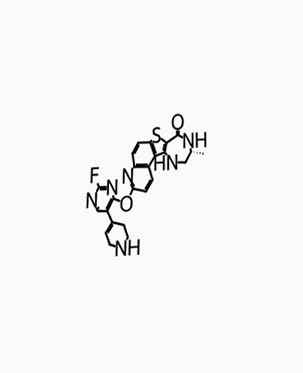 C[C@@H]1CNc2c(sc3ccc4nc(Oc5nc(F)ncc5C5=CCNCC5)ccc4c23)C(=O)N1